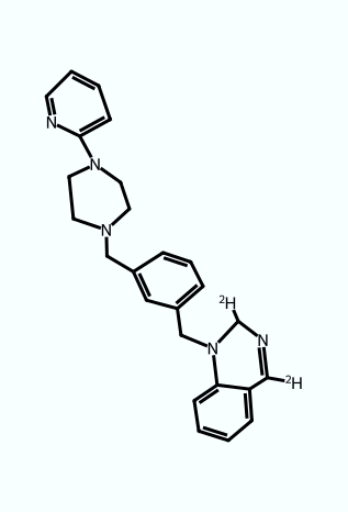 [2H]C1=NC([2H])N(Cc2cccc(CN3CCN(c4ccccn4)CC3)c2)c2ccccc21